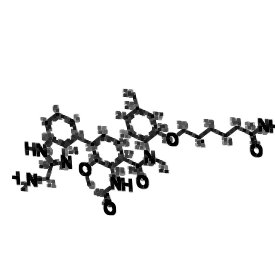 COc1c(-c2cccc3[nH]c(CN)nc23)ccc(C(=O)N(C)c2ccc(C)cc2OCCCCCC(N)=O)c1NC=O